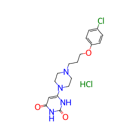 Cl.O=c1cc(N2CCN(CCCOc3ccc(Cl)cc3)CC2)[nH]c(=O)[nH]1